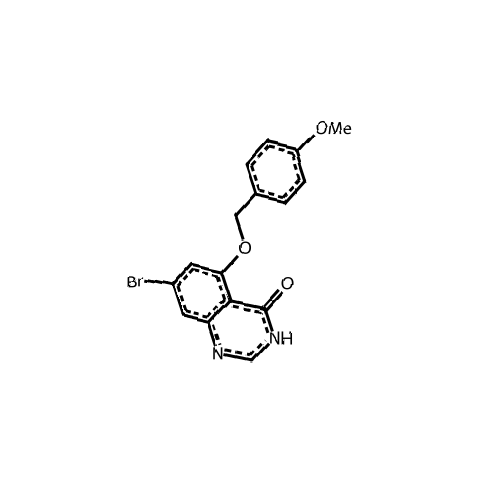 COc1ccc(COc2cc(Br)cc3nc[nH]c(=O)c23)cc1